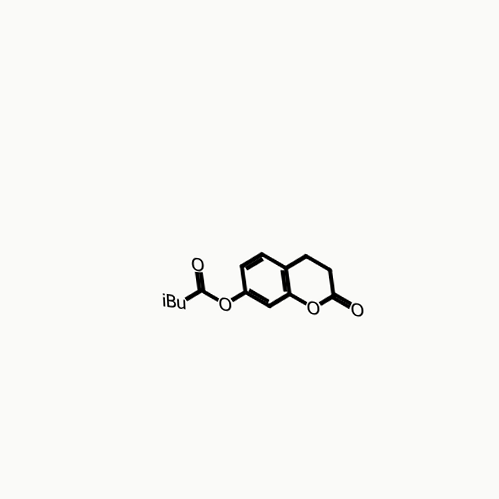 CCC(C)C(=O)Oc1ccc2c(c1)OC(=O)CC2